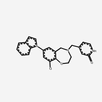 O=c1cc(CN2CCOc3c(Cl)cc(-n4ccc5ccccc54)cc3C2)cc[nH]1